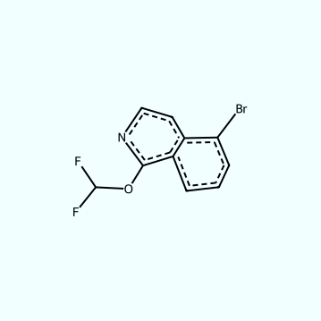 FC(F)Oc1nccc2c(Br)cccc12